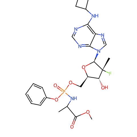 COC(=O)C(C)NP(=O)(OC[C@H]1O[C@@H](n2cnc3c(NC4CCC4)ncnc32)[C@](C)(F)[C@@H]1O)Oc1ccccc1